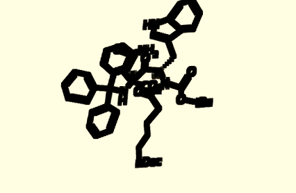 CCCCCCCCCCCCCCC(=O)N(C(=O)OC(C)(C)C)[C@@H](Cc1c[nH]c2ccccc12)C(=O)[C@@](CC(N)=O)(NC(c1ccccc1)(c1ccccc1)c1ccccc1)C(=O)O